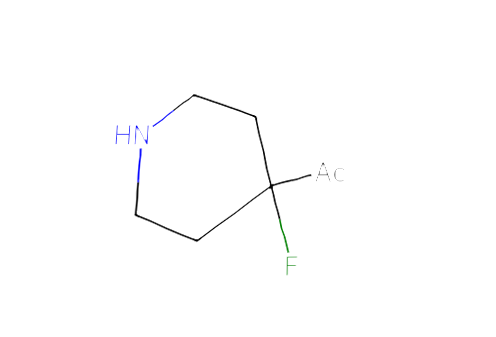 CC(=O)C1(F)CCNCC1